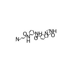 CN(C)CC=CC(=O)Nc1cccc(NC(=O)c2ccc3cc4n(c3c2)CCNC4=O)c1